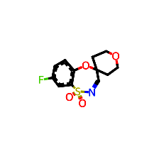 O=S1(=O)N=CC2(CCOCC2)Oc2ccc(F)cc21